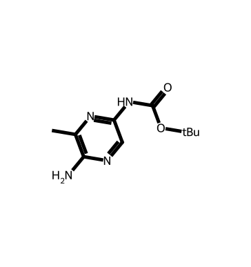 Cc1nc(NC(=O)OC(C)(C)C)cnc1N